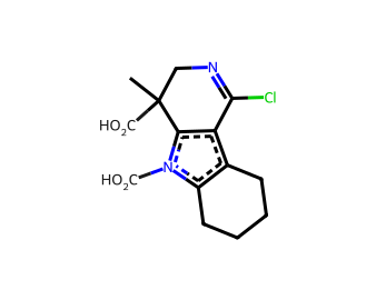 CC1(C(=O)O)CN=C(Cl)c2c3c(n(C(=O)O)c21)CCCC3